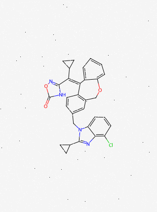 O=c1[nH]c(/C(=C2\c3ccc(Cn4c(C5CC5)nc5c(Cl)cccc54)cc3COc3ccccc32)C2CC2)no1